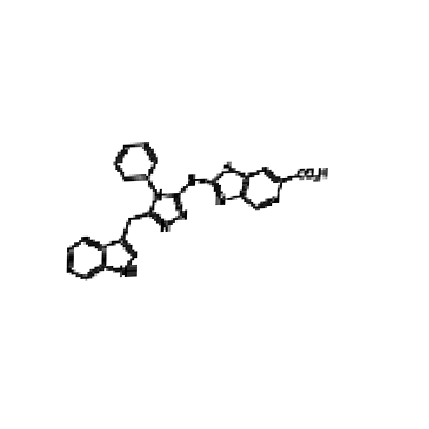 O=C(O)c1ccc2nc(Sc3nnc(Cc4c[nH]c5ccccc45)n3-c3ccccc3)sc2c1